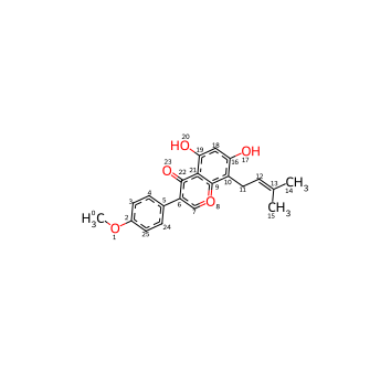 COc1ccc(-c2coc3c(CC=C(C)C)c(O)cc(O)c3c2=O)cc1